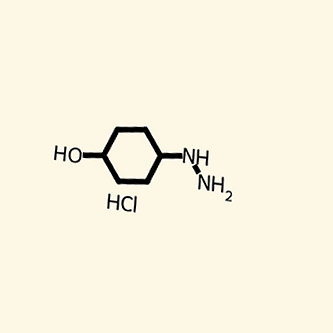 Cl.NNC1CCC(O)CC1